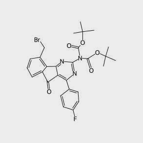 CC(C)(C)OC(=O)N(C(=O)OC(C)(C)C)c1nc(-c2ccc(F)cc2)c2c(n1)-c1c(CBr)cccc1C2=O